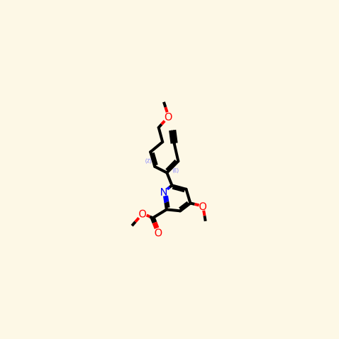 C#C/C=C(\C=C/CCOC)c1cc(OC)cc(C(=O)OC)n1